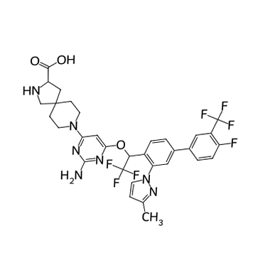 Cc1ccn(-c2cc(-c3ccc(F)c(C(F)(F)F)c3)ccc2C(Oc2cc(N3CCC4(CC3)CNC(C(=O)O)C4)nc(N)n2)C(F)(F)F)n1